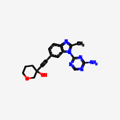 Cc1nc2ccc(C#CC3(O)CCCOC3)cc2n1-c1ncnc(N)n1